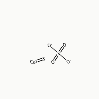 O=S(=O)([O-])[O-].[S]=[Cu+2]